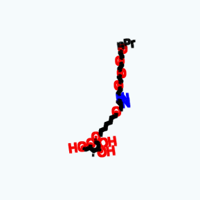 CCCOCCOCCOCCOCCn1cc(COCCCCCCCO[C@@H]2OC(CO)[C@@H](C)C(O)C2O)nn1